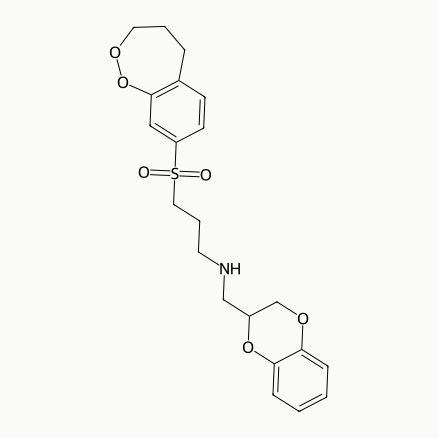 O=S(=O)(CCCNCC1COc2ccccc2O1)c1ccc2c(c1)OOCCC2